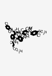 Cc1c(C#N)c(Nc2ccc(Cl)c(S(=O)(=O)O)c2)nc(Nc2ccc(Cl)cc2)c1N=Nc1nc(-c2cccc(NC(=O)CCC(=O)O)c2)c(N=Nc2cc(Cl)ccc2Cl)s1